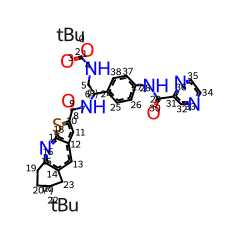 CC(C)(C)OC(=O)NC[C@H](NC(=O)c1cc2cc3c(nc2s1)CC[C@@H](C(C)(C)C)C3)c1ccc(NC(=O)c2cnccn2)cc1